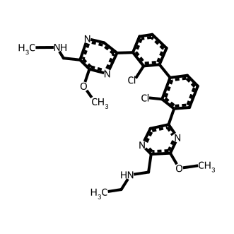 CCNCc1ncc(-c2cccc(-c3cccc(-c4cnc(CNC)c(OC)n4)c3Cl)c2Cl)nc1OC